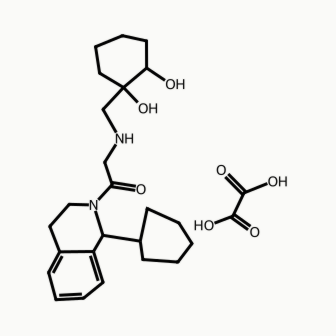 O=C(CNCC1(O)CCCCC1O)N1CCc2ccccc2C1C1CCCCC1.O=C(O)C(=O)O